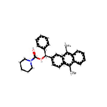 COc1c2ccccc2c(OC)c2cc(C(OC(=O)N3CCCCC3)c3ccccc3)ccc12